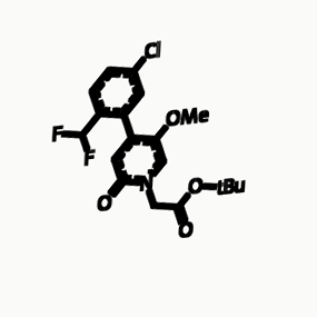 COc1cn(CC(=O)OC(C)(C)C)c(=O)cc1-c1cc(Cl)ccc1C(F)F